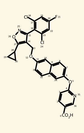 O=C(O)c1ccc(Oc2ccc3cc(OCc4c(-c5c(Cl)cc(F)cc5Cl)noc4C4CC4)ccc3c2)nc1